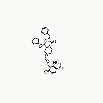 CC(=O)c1ccc(=O)n(COCN2CCN(C(=O)OCc3ccccc3)C(C(=O)OC3CCCC3)C2)c1N